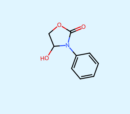 O=C1OCC(O)N1c1ccccc1